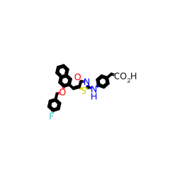 O=C(O)Cc1ccc(NC2=NC(=O)C(=Cc3cc4ccccc4cc3OCc3ccc(F)cc3)S2)cc1